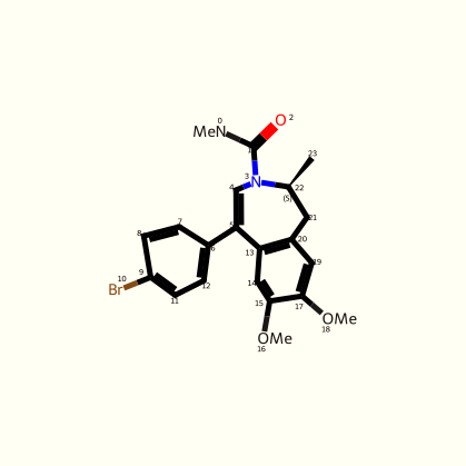 CNC(=O)N1C=C(c2ccc(Br)cc2)c2cc(OC)c(OC)cc2C[C@@H]1C